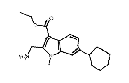 CCOC(=O)c1c(CN)n(C)c2cc(C3CCCCC3)ccc12